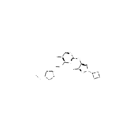 CN[C@H]1CC[C@@H](COc2nc(Nc3cn(C4CCC4)nc3C)ncc2Cl)C1